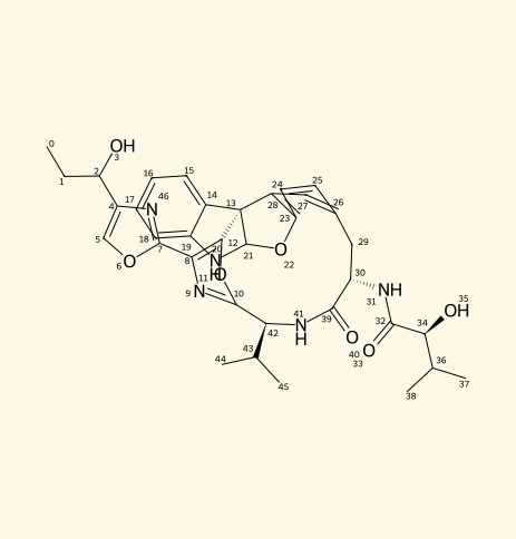 CCC(O)c1coc(-c2nc3oc2[C@@]24c5ccccc5NC2Oc2ccc(cc24)C[C@H](NC(=O)[C@@H](O)C(C)C)C(=O)N[C@H]3C(C)C)n1